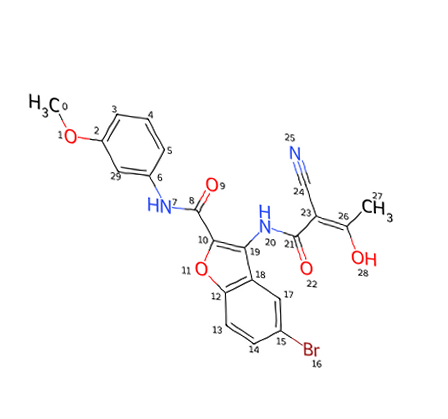 COc1cccc(NC(=O)c2oc3ccc(Br)cc3c2NC(=O)/C(C#N)=C(/C)O)c1